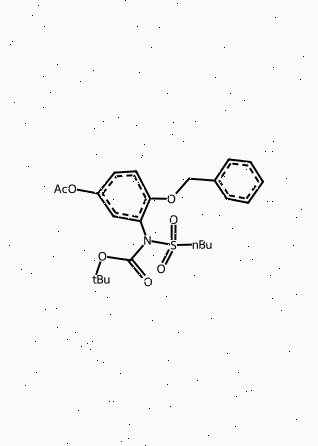 CCCCS(=O)(=O)N(C(=O)OC(C)(C)C)c1cc(OC(C)=O)ccc1OCc1ccccc1